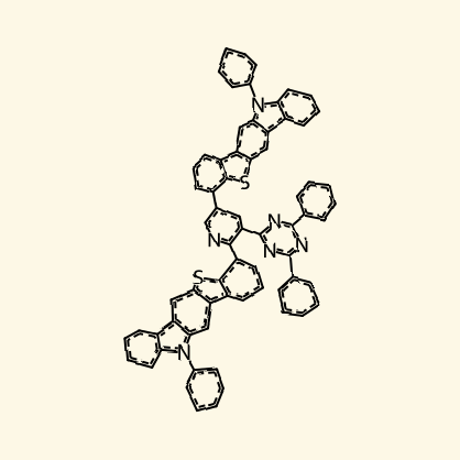 c1ccc(-c2nc(-c3ccccc3)nc(-c3cc(-c4cccc5c4sc4cc6c7ccccc7n(-c7ccccc7)c6cc45)cnc3-c3cccc4c3sc3cc5c6ccccc6n(-c6ccccc6)c5cc34)n2)cc1